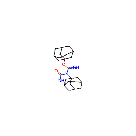 N=C(OC12CC3CC(CC(C3)C1)C2)N(C(N)=O)C12CC3CC(CC(C3)C1)C2